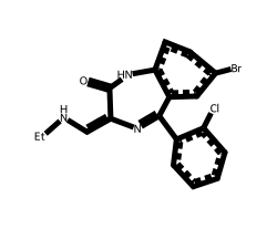 CCNC=C1N=C(c2ccccc2Cl)c2cc(Br)ccc2NC1=O